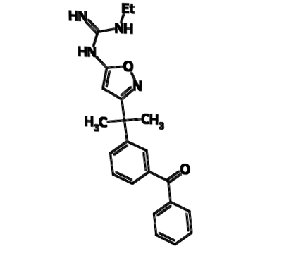 CCNC(=N)Nc1cc(C(C)(C)c2cccc(C(=O)c3ccccc3)c2)no1